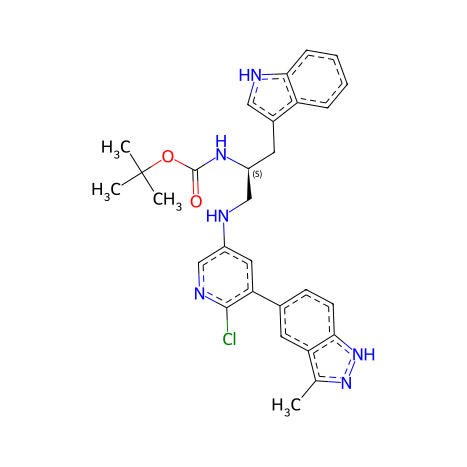 Cc1n[nH]c2ccc(-c3cc(NC[C@H](Cc4c[nH]c5ccccc45)NC(=O)OC(C)(C)C)cnc3Cl)cc12